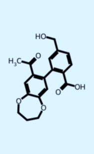 CC(=O)c1cc2c(cc1-c1cc(CO)ccc1C(=O)O)OCCCO2